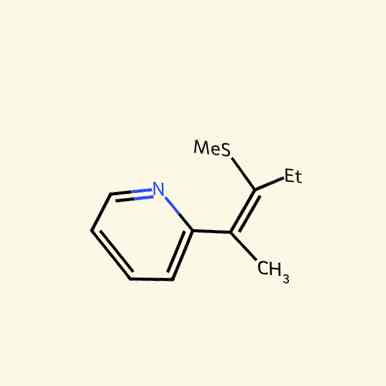 CC/C(SC)=C(\C)c1ccccn1